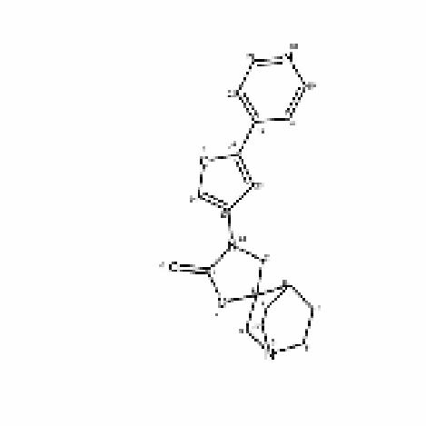 O=C1OC2(CN3CCC2CC3)CN1c1coc(-c2ccncc2)c1